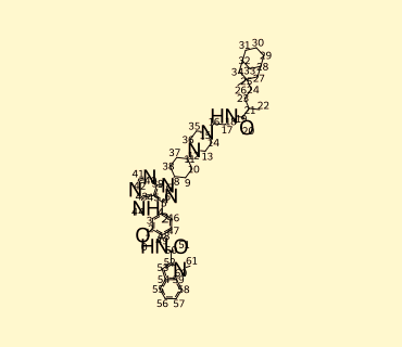 COc1cc(-c2nn(C3CCC(N4CCN(CCNC(=O)C(C)CCC5(C)CC6CCCC(C6)C5)CC4)CC3)c3ncnc(N)c23)ccc1NC(=O)c1cc2ccccc2n1C